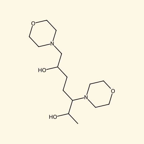 CC(O)C(CCC(O)CN1CCOCC1)N1CCOCC1